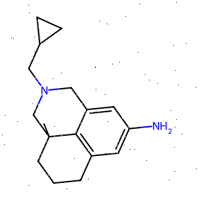 CC12CCCc3cc(N)cc(c31)CN(CC1CC1)C2